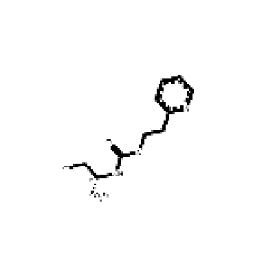 CCOC(=O)[C@H](CC(C)C)NC(=O)OCCc1ccccn1